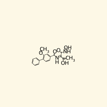 COc1cc(C(=O)N[C@H](C(=O)NO)[C@@H](C)O)ccc1-c1ccccc1